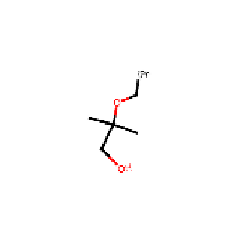 C[C](C)COC(C)(C)CO